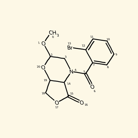 COC1CN(C(=O)c2ccccc2Br)C2C(=O)OCC2O1